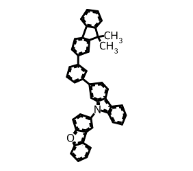 CC1(C)c2ccccc2-c2ccc(-c3cccc(-c4ccc5c6ccccc6n(-c6ccc7oc8ccccc8c7c6)c5c4)c3)cc21